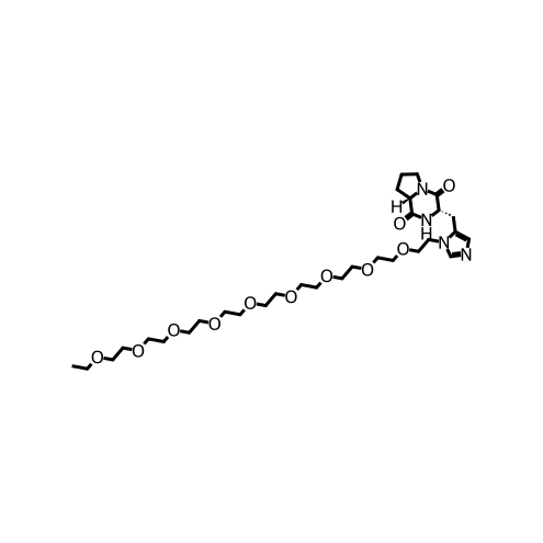 CCOCCOCCOCCOCCOCCOCCOCCOCCOCCn1cncc1C[C@@H]1NC(=O)[C@@H]2CCCN2C1=O